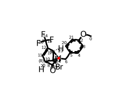 COc1ccc(CN2C(=O)[C@H]3C=C(C(F)(F)F)[C@@H]2[C@@H]3Br)cc1